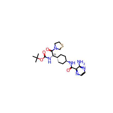 CC(C)(C)OC(=O)N[C@H](C(=O)N1CCSC1)[C@H]1CC[C@H](NC(=O)c2nccnc2N)CC1